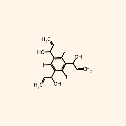 C=CC(O)c1c(I)c(C(O)C=C)c(I)c(C(O)C=C)c1I